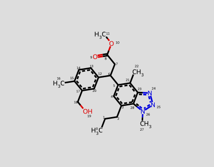 CCCc1cc(C(CC(=O)OC)c2ccc(C)c(CO)c2)c(C)c2nnn(C)c12